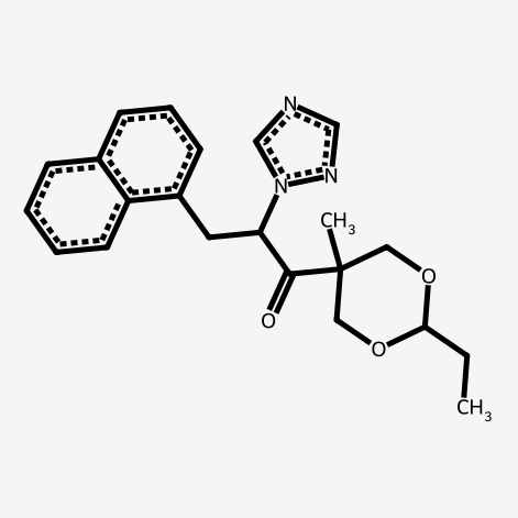 CCC1OCC(C)(C(=O)C(Cc2cccc3ccccc23)n2cncn2)CO1